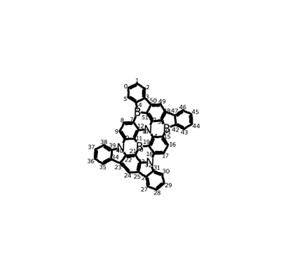 c1ccc2c(c1)B1c3ccc4c5c3N3c6c(ccc7c6B5c5c6c(cc8c9ccccc9n-7c58)c5ccccc5n6-4)B4c5ccccc5-c5cc-2c1c3c54